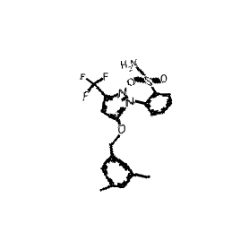 Cc1cc(C)cc(COc2cc(C(F)(F)F)nn2-c2ccccc2S(N)(=O)=O)c1